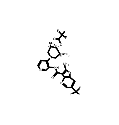 C[C@H]1CN(c2ccncc2NC(=O)c2c(N)oc3cc(C(F)(F)F)cnc23)C[C@@H](N)[C@@H]1OC(=O)C(F)(F)F